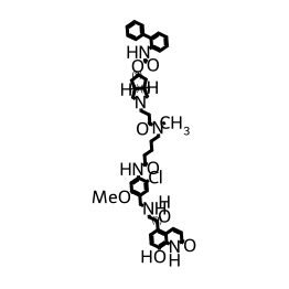 COc1cc(NC(=O)CCCCN(C)C(=O)CCN2C[C@H]3C[C@H](OC(=O)Nc4ccccc4-c4ccccc4)C[C@H]3C2)c(Cl)cc1CNC[C@H](O)c1ccc(O)c2[nH]c(=O)ccc12